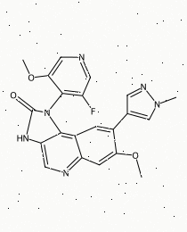 COc1cc2ncc3[nH]c(=O)n(-c4c(F)cncc4OC)c3c2cc1-c1cnn(C)c1